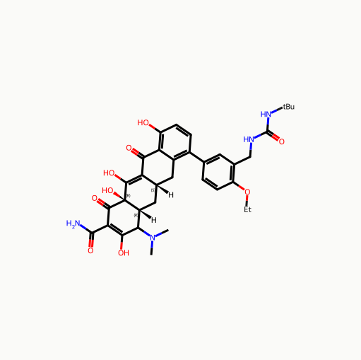 CCOc1ccc(-c2ccc(O)c3c2C[C@@H]2C[C@@H]4C(N(C)C)C(O)=C(C(N)=O)C(=O)[C@]4(O)C(O)=C2C3=O)cc1CNC(=O)NC(C)(C)C